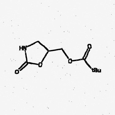 CC(C)(C)C(=O)OCC1CNC(=O)O1